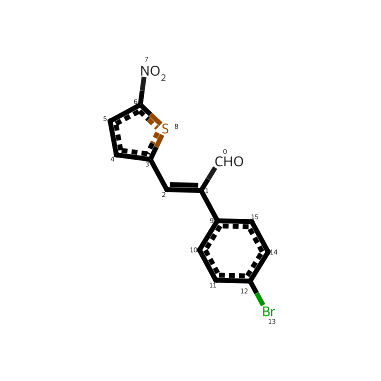 O=C/C(=C\c1ccc([N+](=O)[O-])s1)c1ccc(Br)cc1